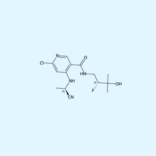 C[C@H](C#N)Nc1cc(Cl)ncc1C(=O)NC[C@@H](F)C(C)(C)O